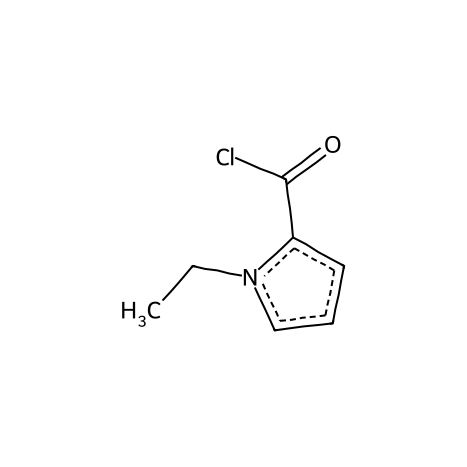 CCn1cccc1C(=O)Cl